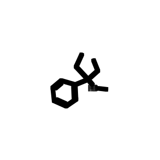 CBC(CC)(CC)c1ccccc1